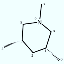 C[C@@H]1C[C@H](C)CN(C)C1